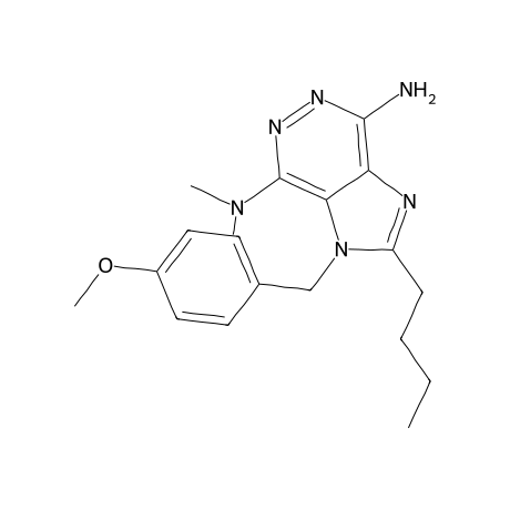 CCCCc1nc2c(N)nnc(N(C)C)c2n1Cc1ccc(OC)cc1